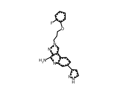 Nc1nc2cc(-c3cc[nH]n3)ccc2c2cn(CCCOc3ccccc3F)nc12